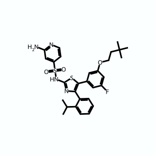 CC(C)c1ccccc1-c1nc(NS(=O)(=O)c2ccnc(N)c2)sc1-c1cc(F)cc(OCCC(C)(C)C)c1